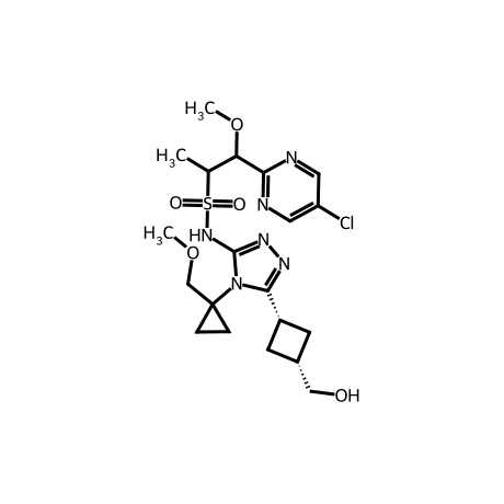 COCC1(n2c(NS(=O)(=O)C(C)C(OC)c3ncc(Cl)cn3)nnc2[C@H]2C[C@@H](CO)C2)CC1